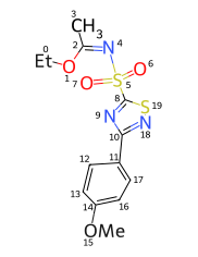 CCOC(C)=NS(=O)(=O)c1nc(-c2ccc(OC)cc2)ns1